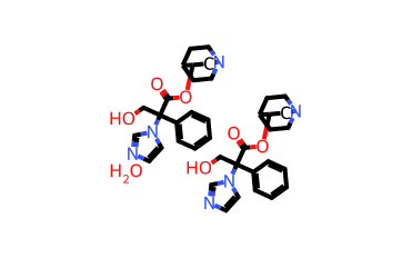 O.O=C(OC1CN2CCC1CC2)C(CO)(c1ccccc1)n1ccnc1.O=C(OC1CN2CCC1CC2)C(CO)(c1ccccc1)n1ccnc1